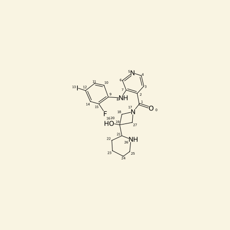 O=C(c1ccncc1Nc1ccc(I)cc1F)N1CC(O)(C2CCCCN2)C1